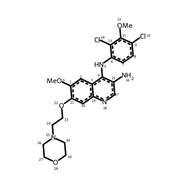 COc1cc2c(Nc3ccc(Cl)c(OC)c3Cl)c(N)cnc2cc1OCCN1CCOCC1